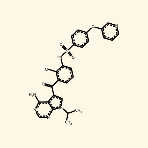 CC(C)n1cc(C(=O)c2cccc(NS(=O)(=O)c3ccc(Oc4cccnc4)cc3)c2Cl)c2c(N)ncnc21